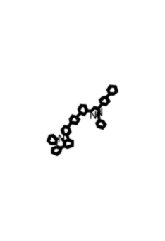 c1ccc(-c2ccc(-c3cc(-c4cccc(-c5ccc(-c6ccc7c(c6)c6cccc(-c8ccccc8)c6n7-c6ccccc6)cc5)c4)nc(-c4ccccc4)n3)cc2)cc1